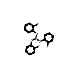 Fc1ccccc1OP(Oc1ccccc1F)Oc1ccccc1F